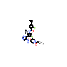 C=CC(=O)N1CCC(ONc2cncnc2-c2cc(F)cc(NC(=O)c3ccc(C4CC4)cc3F)c2C)CC1